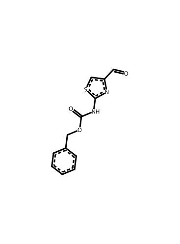 O=Cc1csc(NC(=O)OCc2ccccc2)n1